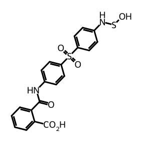 O=C(O)c1ccccc1C(=O)Nc1ccc(S(=O)(=O)c2ccc(NSO)cc2)cc1